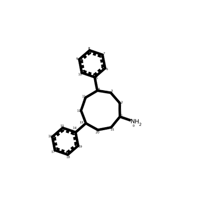 NC1CCC(c2ccccc2)CCC(c2ccccc2)CC1